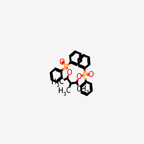 CC(OP(=O)(c1ccccc1)c1ccccc1)C(C)C(C)OP(=O)(c1ccccc1)c1ccccc1